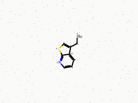 CC(C)(C)Cc1csc2ncccc12